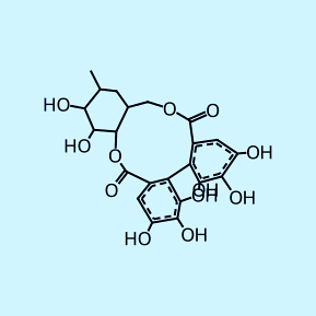 CC1CC2COC(=O)c3cc(O)c(O)c(O)c3-c3c(cc(O)c(O)c3O)C(=O)OC2C(O)C1O